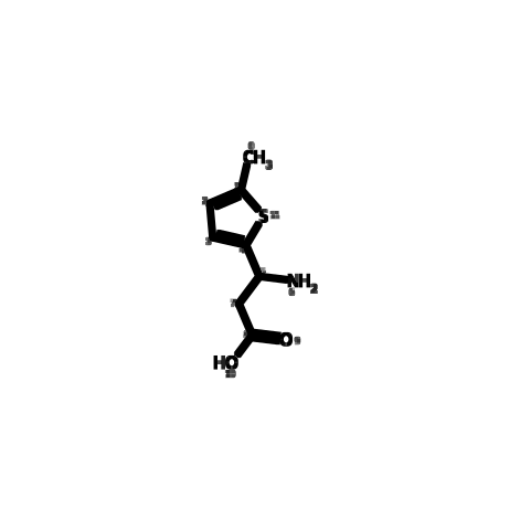 Cc1ccc(C(N)CC(=O)O)s1